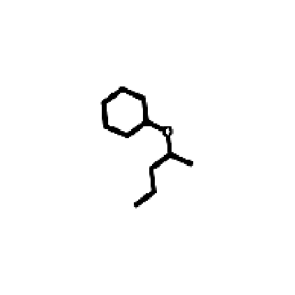 CCCC(C)O[C]1CCCCC1